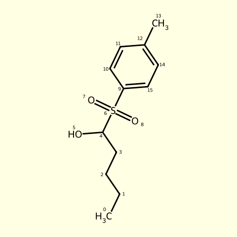 CCCCC(O)S(=O)(=O)c1ccc(C)cc1